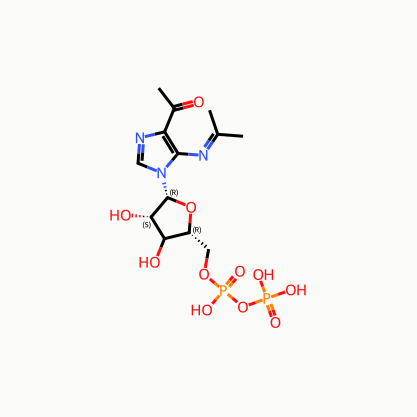 CC(=O)c1ncn([C@@H]2O[C@H](COP(=O)(O)OP(=O)(O)O)C(O)[C@@H]2O)c1N=C(C)C